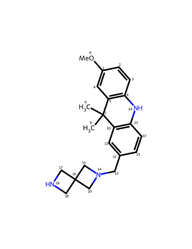 COc1ccc2c(c1)C(C)(C)c1cc(CN3CC4(CNC4)C3)ccc1N2